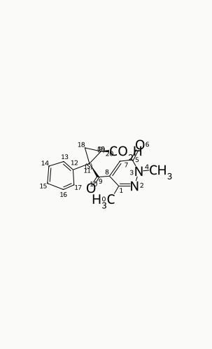 Cc1nn(C)c(=O)cc1C(=O)[C@@]1(c2ccccc2)C[C@H]1C(=O)O